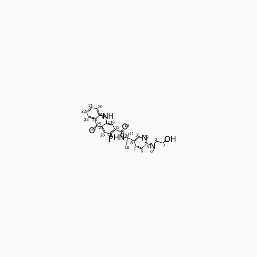 CN(CCO)c1ccc(C(C)(C)NC(=O)c2cc3[nH]c4ccccc4c(=O)c3cc2F)cn1